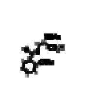 COc1ccccc1C(=O)SC[C@H](NC(C)=O)C(=O)O